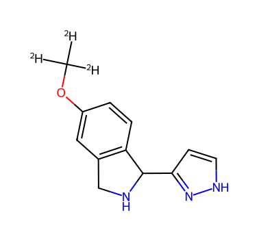 [2H]C([2H])([2H])Oc1ccc2c(c1)CNC2c1cc[nH]n1